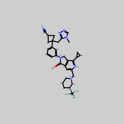 Cn1cnnc1CC1(c2cccc(N3Cc4c(cc(CN5CCC[C@H](C(F)(F)F)C5)nc4C4CC4)C3=O)c2)CC(C#N)C1